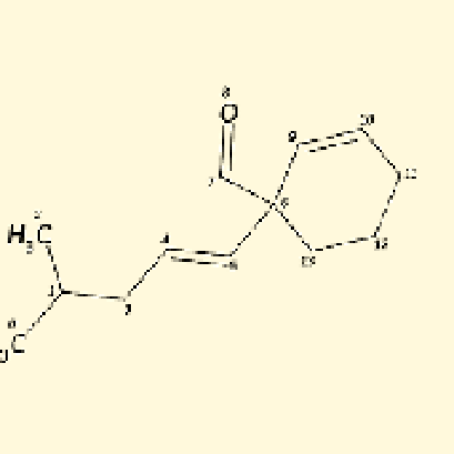 CC(C)CC=CC1(C=O)C=CCCC1